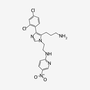 NCCCc1c(-c2ccc(Cl)cc2Cl)ncn1CCNc1ccc([N+](=O)[O-])cn1